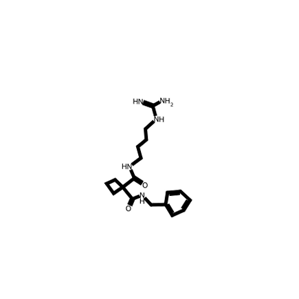 N=C(N)NCCCCNC(=O)C1(C(=O)NCc2ccccc2)CCC1